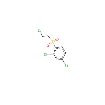 O=S(=O)(CCCl)c1ccc(Cl)cc1Cl